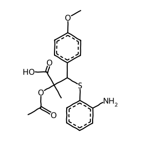 COc1ccc(C(Sc2ccccc2N)C(C)(OC(C)=O)C(=O)O)cc1